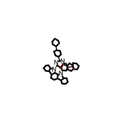 c1ccc(-c2ccc(-c3nc(-c4ccccc4)cc(-n4c5ccccc5c5ccc6c7ccccc7n(-c7cccc(-c8ccccc8)c7)c6c54)n3)cc2)cc1